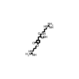 N=C(N)NCCCCNC(=O)C(Cc1ccc(OCCCCNC(=N)N)c(Cl)c1)=NO